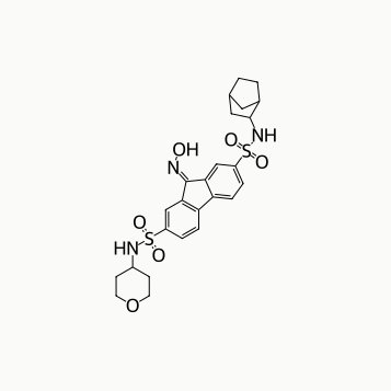 O=S(=O)(NC1CCOCC1)c1ccc2c(c1)C(=NO)c1cc(S(=O)(=O)NC3CC4CCC3C4)ccc1-2